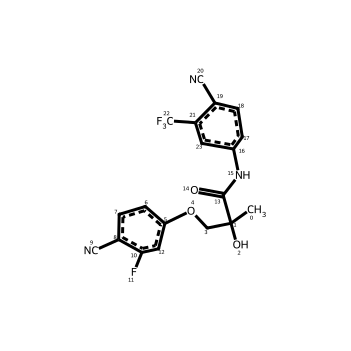 CC(O)(COc1ccc(C#N)c(F)c1)C(=O)Nc1ccc(C#N)c(C(F)(F)F)c1